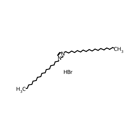 Br.CCCCCCCCCCCCCCCCCCN1C=CN(CCCCCCCCCCCCCCCC)C1